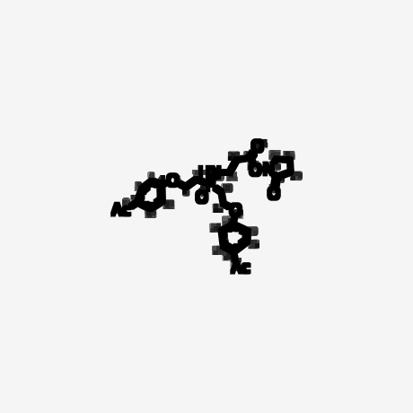 CC(=O)c1ccc(OCCP(=O)(CCOc2ccc(C(C)=O)cc2)NCCC(=O)ON2CCCC2=O)cc1